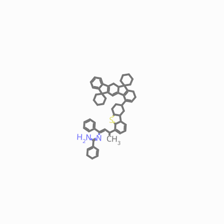 CC(/C=C(\N=C(/N)C1=CCCC=C1)c1ccccc1)C1=CC=CC2C1SC1CCC(C3=CCCC4=C3C3=CC5=C(CC3C43CCCCC3)c3ccccc3C53CCCCC3)CC12